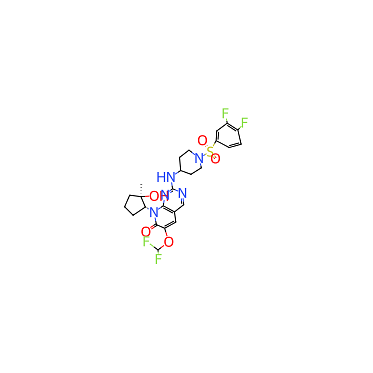 C[C@@]1(O)CCC[C@H]1n1c(=O)c(OC(F)F)cc2cnc(NC3CCN(S(=O)(=O)c4ccc(F)c(F)c4)CC3)nc21